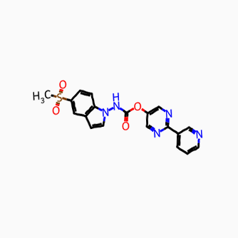 CS(=O)(=O)c1ccc2c(ccn2NC(=O)Oc2cnc(-c3cccnc3)nc2)c1